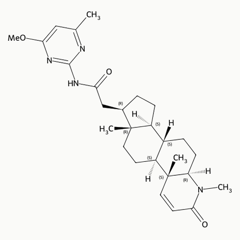 COc1cc(C)nc(NC(=O)C[C@H]2CC[C@H]3[C@@H]4CC[C@H]5N(C)C(=O)C=C[C@]5(C)[C@H]4CC[C@]23C)n1